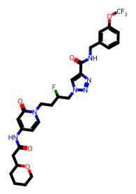 O=C(CC1CCCCO1)Nc1ccn(CCC(F)Cn2cc(C(=O)NCc3cccc(OC(F)(F)F)c3)nn2)c(=O)c1